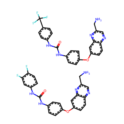 NCc1cnc2ccc(Oc3ccc(NC(=O)Nc4ccc(C(F)(F)F)cc4)cc3)cc2n1.NCc1cnc2ccc(Oc3ccc(NC(=O)Nc4ccc(F)c(F)c4)cc3)cc2n1